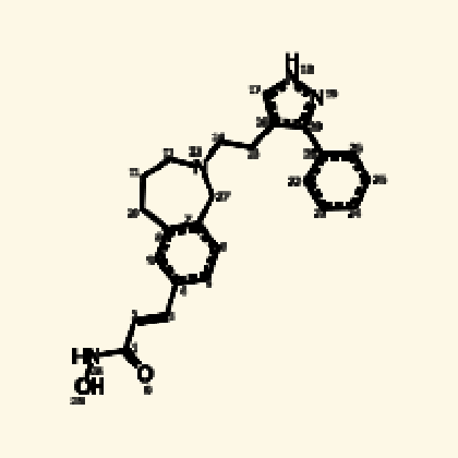 O=C(C=Cc1ccc2c(c1)CCCN(CCc1c[nH]nc1-c1ccccc1)C2)NO